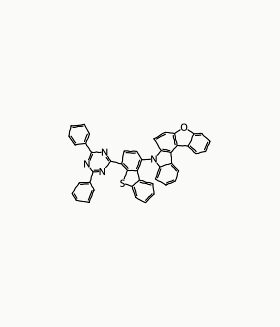 c1ccc(-c2nc(-c3ccccc3)nc(-c3ccc(-n4c5ccccc5c5c6c(ccc54)oc4ccccc46)c4c3sc3ccccc34)n2)cc1